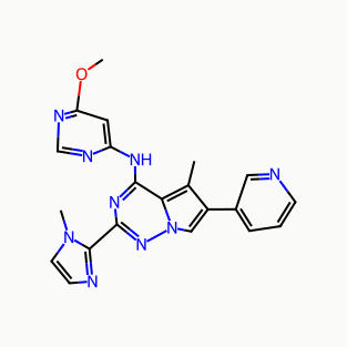 COc1cc(Nc2nc(-c3nccn3C)nn3cc(-c4cccnc4)c(C)c23)ncn1